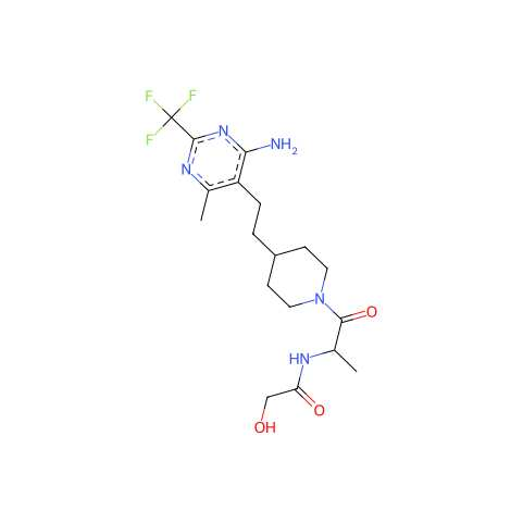 Cc1nc(C(F)(F)F)nc(N)c1CCC1CCN(C(=O)C(C)NC(=O)CO)CC1